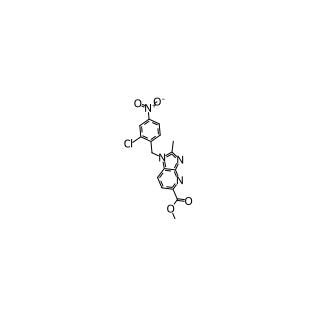 COC(=O)c1ccc2c(n1)nc(C)n2Cc1ccc([N+](=O)[O-])cc1Cl